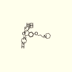 Cl.Cl.O=C(c1ccc(OCCCN2CCCCC2)cc1C(F)(F)F)N1CCNCC1